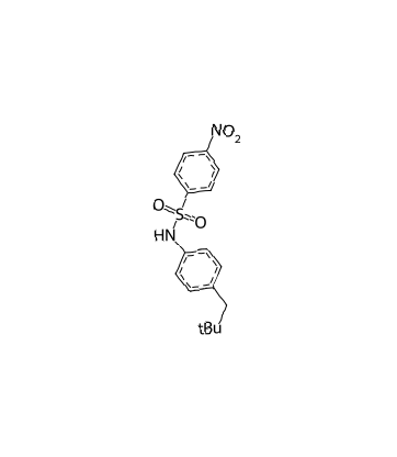 CC(C)(C)Cc1ccc(NS(=O)(=O)c2ccc([N+](=O)[O-])cc2)cc1